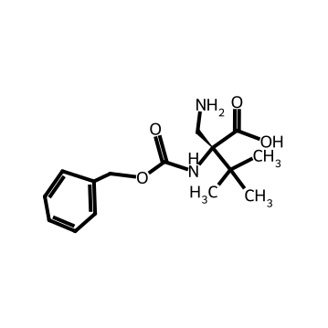 CC(C)(C)[C@](CN)(NC(=O)OCc1ccccc1)C(=O)O